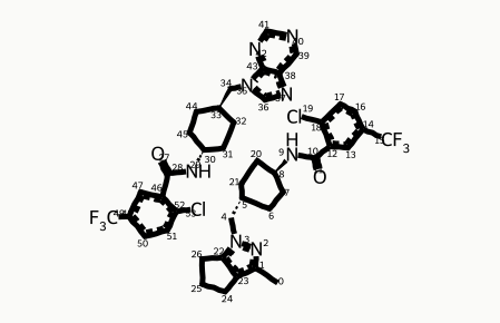 Cc1nn(C[C@H]2CC[C@H](NC(=O)c3cc(C(F)(F)F)ccc3Cl)CC2)c2c1CCC2.O=C(N[C@H]1CC[C@H](Cn2cnc3cncnc32)CC1)c1cc(C(F)(F)F)ccc1Cl